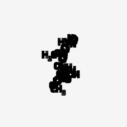 COc1ccc(S(=O)(=O)[C@@](N)(CNC(=O)c2ccc(N3CCC(Nc4ncccn4)CC3)c(OC)c2)C(=O)O)cc1